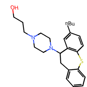 CCCCc1ccc2c(c1)C(N1CCN(CCCO)CC1)Cc1ccccc1S2